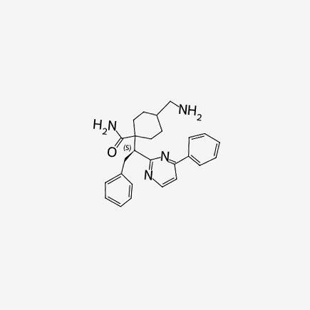 NCC1CCC(C(N)=O)([C@H](Cc2ccccc2)c2nccc(-c3ccccc3)n2)CC1